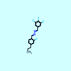 CCCc1ccc(C=NN=Cc2cc(F)c(F)c(F)c2)c(F)c1